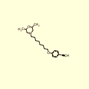 C#Cc1ccc(OCCCCCCCCN2CC(C)OC(C)C2)cc1